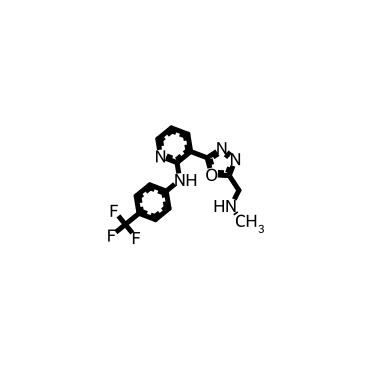 CNCc1nnc(-c2cccnc2Nc2ccc(C(F)(F)F)cc2)o1